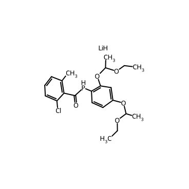 CCOC(C)Oc1ccc(PC(=O)c2c(C)cccc2Cl)c(OC(C)OCC)c1.[LiH]